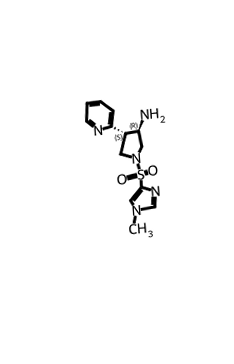 Cn1cnc(S(=O)(=O)N2C[C@H](c3ccccn3)[C@@H](N)C2)c1